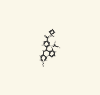 C1C2CC1O2.COC(=O)c1ccc(C(Cc2cc[n+]([O-])cc2)c2ccccc2OC(F)F)nc1